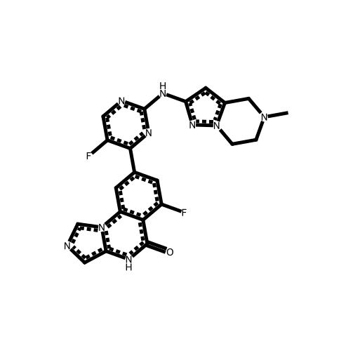 CN1CCn2nc(Nc3ncc(F)c(-c4cc(F)c5c(=O)[nH]c6cncn6c5c4)n3)cc2C1